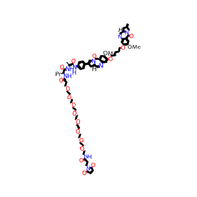 C=C1C[C@H]2C=Nc3cc(OCCCCCOc4cc5c(cc4OC)C(=O)N4C=C(c6ccc(NC(=O)[C@H](C)NC(=O)[C@@H](NC(=O)CCOCCOCCOCCOCCOCCOCCOCCOCCNC(=O)CCN7C(=O)C=CC7=O)C(C)C)cc6)C[C@H]4C=N5)c(OC)cc3C(=O)N2C1